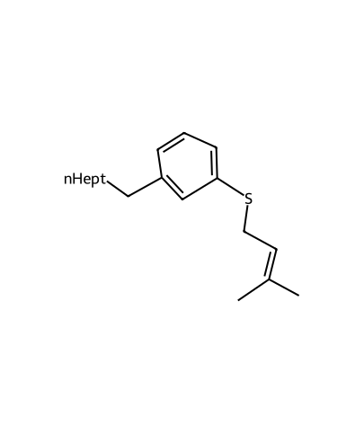 CCCCCCCCc1cccc(SCC=C(C)C)c1